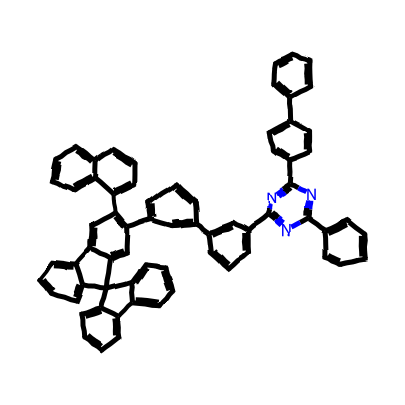 c1ccc(-c2ccc(-c3nc(-c4ccccc4)nc(-c4cccc(-c5cccc(-c6cc7c(cc6-c6cccc8ccccc68)-c6ccccc6C76c7ccccc7-c7ccccc76)c5)c4)n3)cc2)cc1